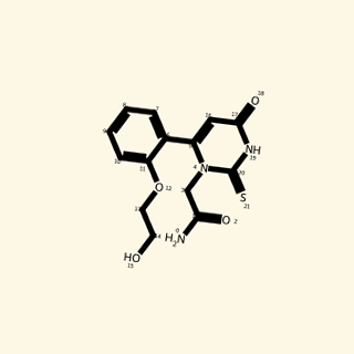 NC(=O)Cn1c(-c2ccccc2OCCO)cc(=O)[nH]c1=S